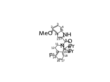 COc1cccc2[nH]c(C(=O)N3CCc4c(F)cccc4C3(C(C)C)C(C)C)cc12